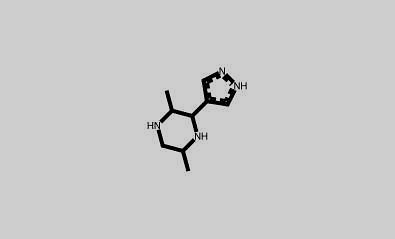 CC1CNC(C)C(c2cn[nH]c2)N1